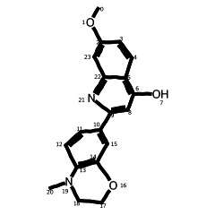 COc1ccc2c(O)cc(-c3ccc4c(c3)OCCN4C)nc2c1